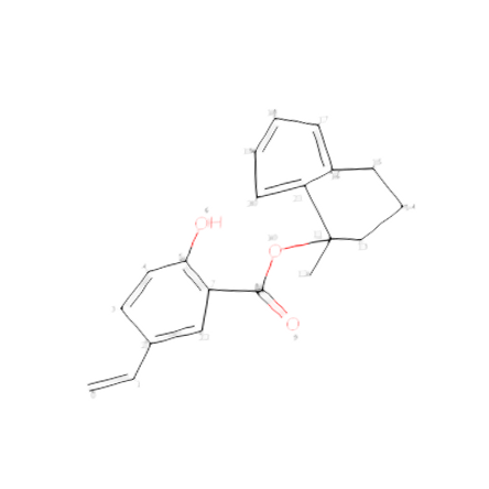 C=Cc1ccc(O)c(C(=O)OC2(C)CCCc3ccccc32)c1